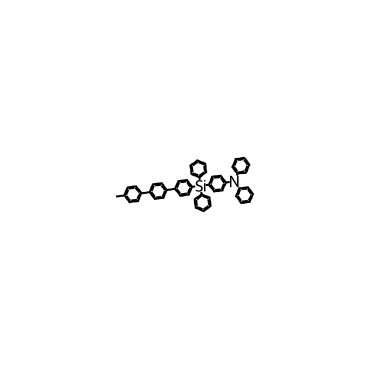 Cc1ccc(-c2ccc(-c3ccc([Si](c4ccccc4)(c4ccccc4)c4ccc(N(c5ccccc5)c5ccccc5)cc4)cc3)cc2)cc1